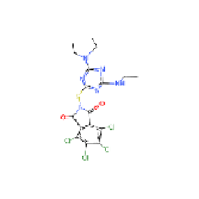 CCNc1nc(SN2C(=O)c3c(Cl)c(Cl)c(Cl)c(Cl)c3C2=O)nc(N(CC)CC)n1